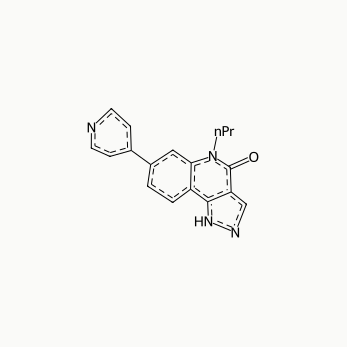 CCCn1c(=O)c2cn[nH]c2c2ccc(-c3ccncc3)cc21